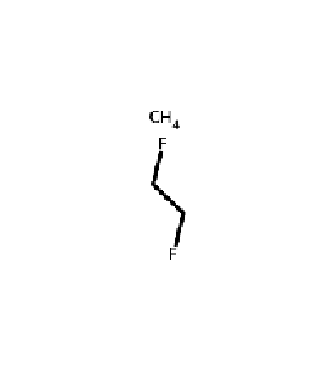 C.FCCF